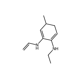 C=CNC1=CC(C)CC=C1NCC